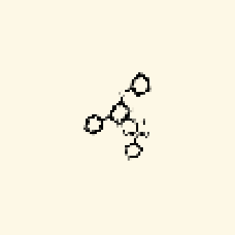 O=S(=O)(Nc1nc(Oc2ccccc2)cc(-c2ccccc2)n1)C1CCOC1